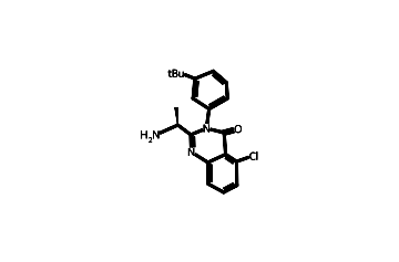 C[C@H](N)c1nc2cccc(Cl)c2c(=O)n1-c1cccc(C(C)(C)C)c1